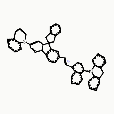 C1=CC2c3ccc(/C=C/c4ccc(N5c6ccccc6Cc6ccccc65)c5ccccc45)cc3C3(Cc4ccccc4C3)C2C=C1N1CCCc2ccccc21